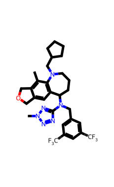 Cc1c2c(cc3c1N(CC1CCCC1)CCCC3N(Cc1cc(C(F)(F)F)cc(C(F)(F)F)c1)c1nnn(C)n1)COC2